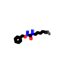 CCCCCNC(=O)NOCc1ccccc1